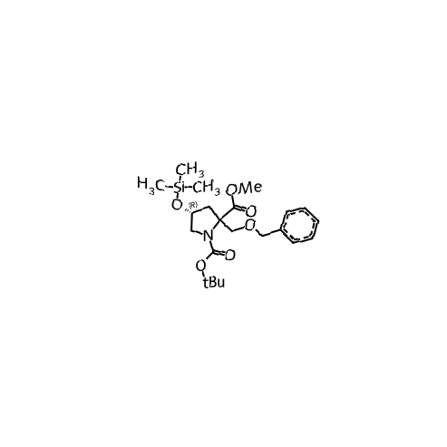 COC(=O)C1(COCc2ccccc2)C[C@@H](O[Si](C)(C)C)CN1C(=O)OC(C)(C)C